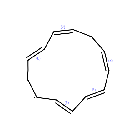 [CH]1/C=C/C=C/C=C\C/C=C\C=C\C1